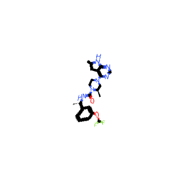 Cc1cc2c(N3CCN(C(=O)N[C@@H](C)c4cccc(OC(F)F)c4)[C@H](C)C3)ncnc2[nH]1